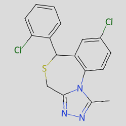 Cc1nnc2n1-c1ccc(Cl)cc1C(c1ccccc1Cl)SC2